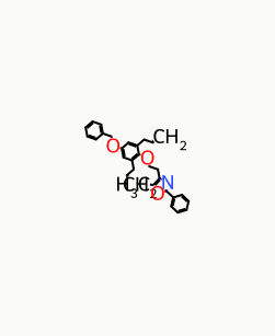 C=CCc1cc(OCc2ccccc2)cc(CC=C)c1OCCc1nc(-c2ccccc2)oc1C